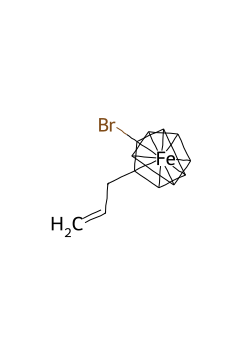 C=CC[C]12[CH]3[CH]4[CH]5[C]1(Br)[Fe]45321678[CH]2[CH]1[CH]6[CH]7[CH]28